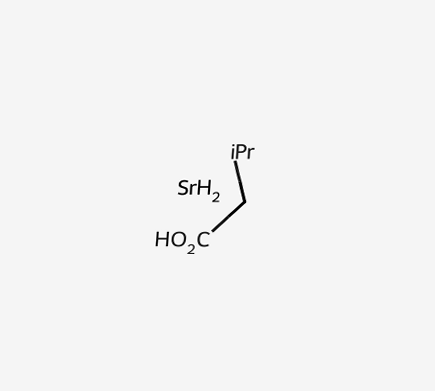 CC(C)CC(=O)O.[SrH2]